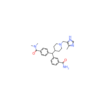 Cc1nc[nH]c1CN1CCC(C(c2ccc(C(=O)N(C)C)cc2)c2cccc(C(N)=O)c2)CC1